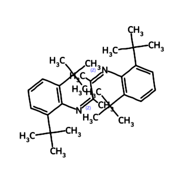 CC(=N/c1c(C(C)(C)C)cccc1C(C)(C)C)/C(C)=N\c1c(C(C)(C)C)cccc1C(C)(C)C